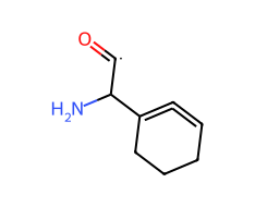 NC([C]=O)C1=C=CCCC1